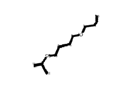 CCCOCC[CH]COC(C)C